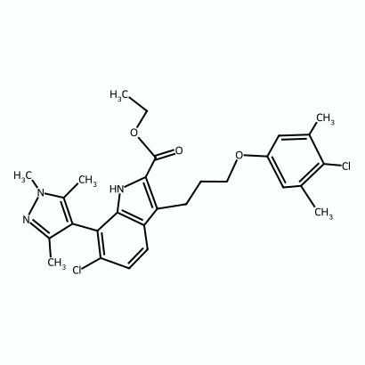 CCOC(=O)c1[nH]c2c(-c3c(C)nn(C)c3C)c(Cl)ccc2c1CCCOc1cc(C)c(Cl)c(C)c1